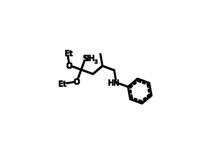 CCOC([SiH3])(CC(C)CNc1ccccc1)OCC